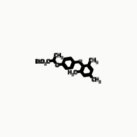 CCOC(=O)C(C)Oc1ccc([I+]c2c(C)cc(C)cc2C)cc1